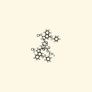 CCOC(=O)NC(=O)N(CC(=O)N1C[C@@H](CCl)c2c1cc(OCc1ccccc1)c1ccccc21)CC(=O)N1C[C@@H](CCl)c2c1cc(OCc1ccccc1)c1ccccc21